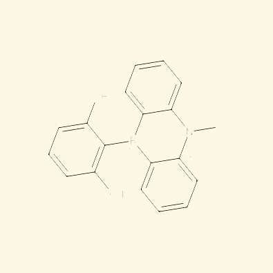 Cc1cccc(C)c1B1c2ccccc2N(I)c2ccccc21